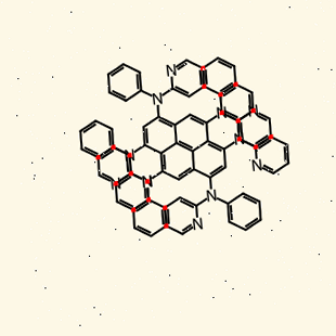 c1ccc(N(c2ccccn2)c2cc(N(c3ccccc3)c3ccccn3)c3c(N(c4ccccc4)c4ccccn4)cc4c(N(c5ccccc5)c5ccccn5)cc(N(c5ccccc5)c5ccccn5)c5c(N(c6ccccc6)c6ccccn6)cc2c3c45)cc1